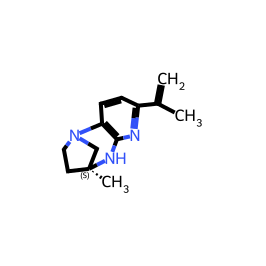 C=C(C)c1ccc2c(n1)N[C@@]1(C)CCN2C1